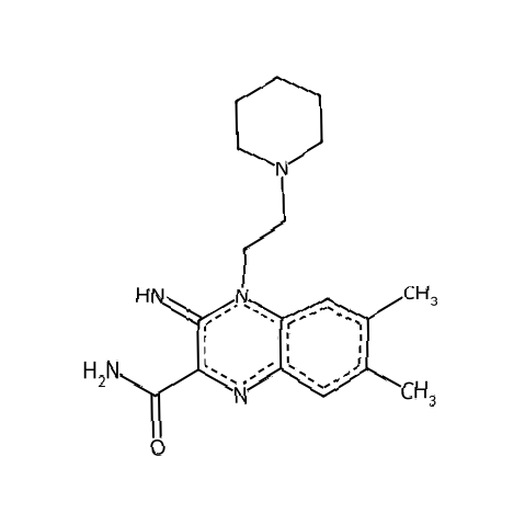 Cc1cc2nc(C(N)=O)c(=N)n(CCN3CCCCC3)c2cc1C